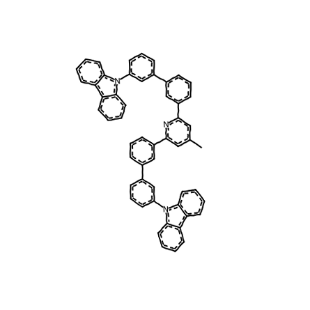 Cc1cc(-c2cccc(-c3cccc(-n4c5ccccc5c5ccccc54)c3)c2)nc(-c2cccc(-c3cccc(-n4c5ccccc5c5ccccc54)c3)c2)c1